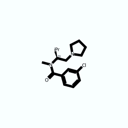 CC(C)[C@@H](CN1CCCC1)N(C)C(=O)c1cccc(Cl)c1